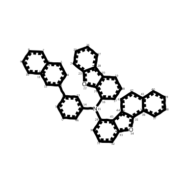 c1cc(-c2ccc3ccccc3c2)cc(N(c2cccc3c2oc2ccccc23)c2cccc3oc4c5ccccc5ccc4c23)c1